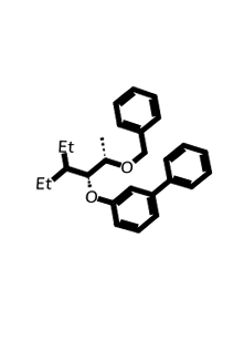 CCC(CC)[C@@H](Oc1cccc(-c2ccccc2)c1)[C@H](C)OCc1ccccc1